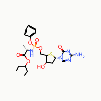 CCC(CC)OC(=O)[C@H](C)N[P@](=O)(OCC1S[C@@H](n2cnc(N)nc2=O)CC1O)Oc1ccccc1